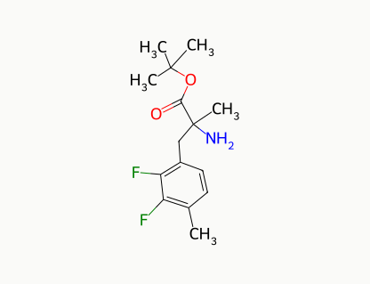 Cc1ccc(CC(C)(N)C(=O)OC(C)(C)C)c(F)c1F